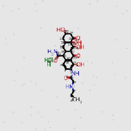 C=CCNCC(=O)Nc1ccc2c(c1O)C(=O)C1=C(O)C3(O)C(=O)CC(O)CC3CC1C2C(N)=O.Cl.Cl